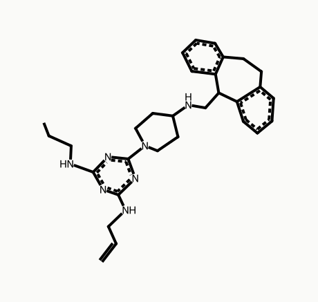 C=CCNc1nc(NCCC)nc(N2CCC(NCC3c4ccccc4CCc4ccccc43)CC2)n1